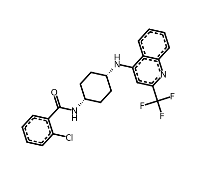 O=C(N[C@H]1CC[C@@H](Nc2cc(C(F)(F)F)nc3ccccc23)CC1)c1ccccc1Cl